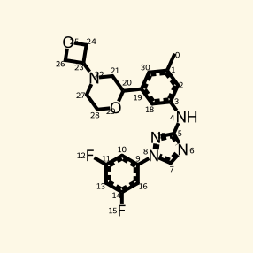 Cc1cc(Nc2ncn(-c3cc(F)cc(F)c3)n2)cc(C2CN(C3COC3)CCO2)c1